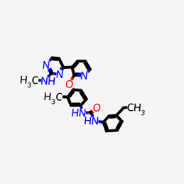 CCc1cccc(NC(=O)Nc2ccc(Oc3ncccc3-c3ccnc(NC)n3)c(C)c2)c1